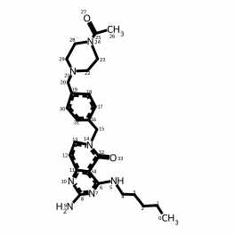 CCCCCNc1nc(N)nc2ccn(Cc3ccc(CN4CCN(C(C)=O)CC4)cc3)c(=O)c12